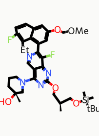 CCc1c(F)ccc2cc(OCOC)cc(-c3ncc4c(N5CCC[C@@](C)(O)C5)nc(OC[C@H](C)CO[Si](C)(C)C(C)(C)C)nc4c3F)c12